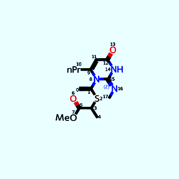 C=C(SC(C)C(=O)OC)n1c(CCC)cc(=O)[nH]/c1=N/C